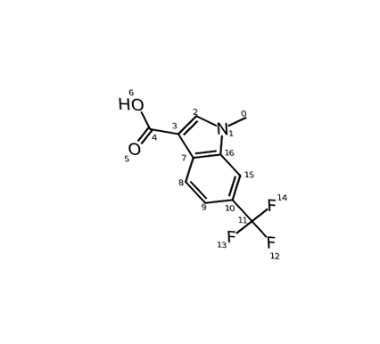 Cn1cc(C(=O)O)c2ccc(C(F)(F)F)cc21